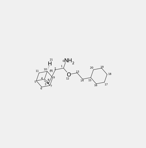 NC(CC1=C2C3CC(C1)C[C@@H]2C3)OCCC1CCCCC1